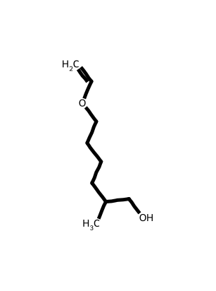 C=COCCCCC(C)CO